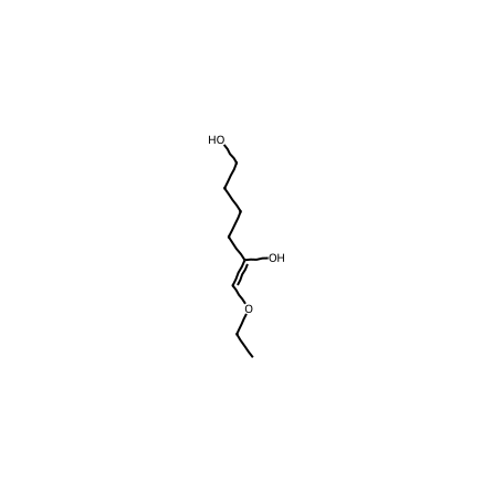 CCOC=C(O)CCCCO